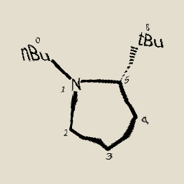 CCCCN1CCC[C@H]1C(C)(C)C